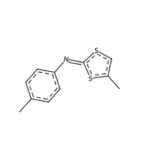 Cc1ccc(N=c2scc(C)s2)cc1